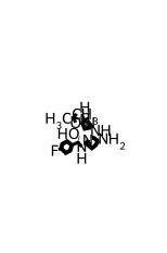 CC(C)Oc1cc(Nc2nc(N[C@@H](CO)c3ccc(F)cc3)ccc2N)n[nH]1